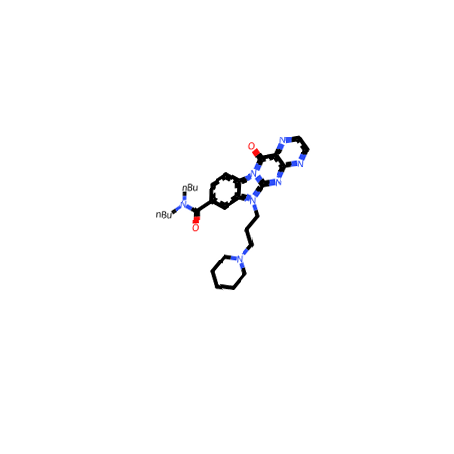 CCCCN(CCCC)C(=O)c1ccc2c(c1)n(CCCN1CCCCC1)c1nc3nccnc3c(=O)n21